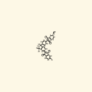 C#Cc1ccc2c(c1)C(=O)N(c1ccc(C3(C)CC(C)(C)c4cc(N5C(=O)c6ccc(C)cc6C5=O)ccc43)cc1)C2=O